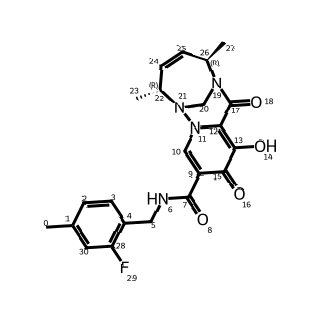 Cc1ccc(CNC(=O)c2cn3c(c(O)c2=O)C(=O)N2CN3[C@H](C)C=C[C@H]2C)c(F)c1